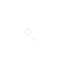 CN(C[C@H]1CO1)S(=O)(=O)c1cncc(Br)c1